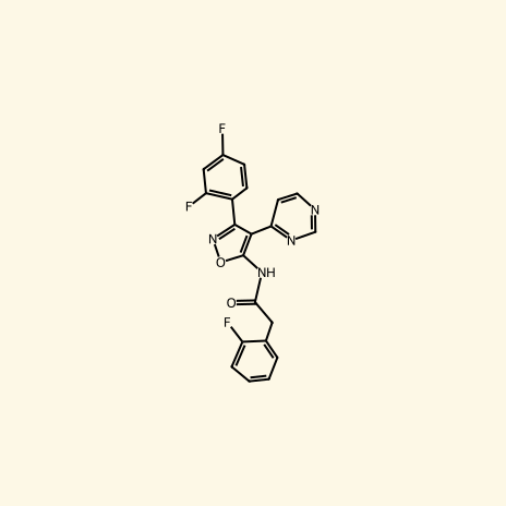 O=C(Cc1ccccc1F)Nc1onc(-c2ccc(F)cc2F)c1-c1ccncn1